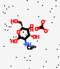 N[C@H]1C(O)O[C@H](CO)[C@@H](O)[C@@H]1O.O=C([O-])[O-].[Ca+2]